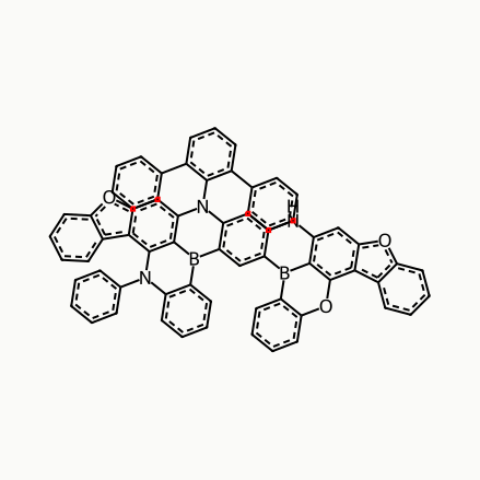 c1ccc(-c2cccc(-c3ccccc3)c2N2c3cc4c(cc3B3c5ccccc5N(c5ccccc5)c5c3c2cc2oc3ccccc3c52)B2c3ccccc3Oc3c2c(cc2oc5ccccc5c32)N4)cc1